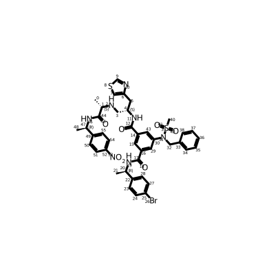 C[C@H](NC[C@H](Cc1cscn1)NC(=O)c1cc(C(=O)N[C@H](C)c2ccc(Br)cc2)cc(N(Cc2ccccc2)S(C)(=O)=O)c1)C(=O)N[C@H](C)c1ccc([N+](=O)[O-])cc1